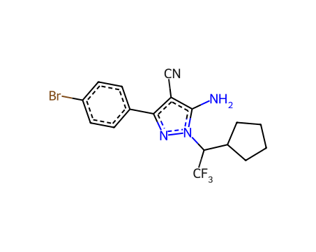 N#Cc1c(-c2ccc(Br)cc2)nn(C(C2CCCC2)C(F)(F)F)c1N